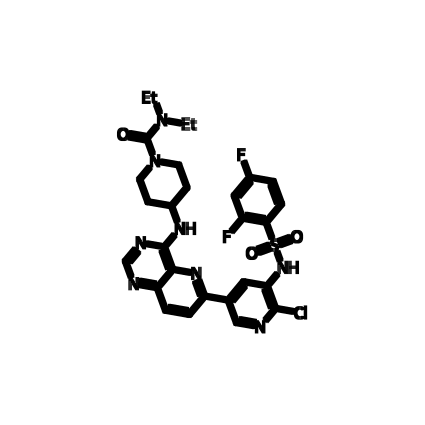 CCN(CC)C(=O)N1CCC(Nc2ncnc3ccc(-c4cnc(Cl)c(NS(=O)(=O)c5ccc(F)cc5F)c4)nc23)CC1